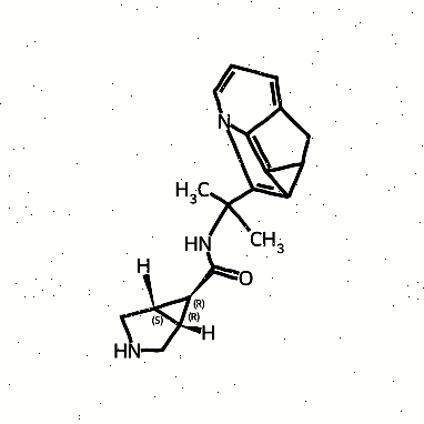 CC(C)(NC(=O)[C@H]1[C@@H]2CNC[C@@H]21)c1c2c3c4c(cccn14)CC23